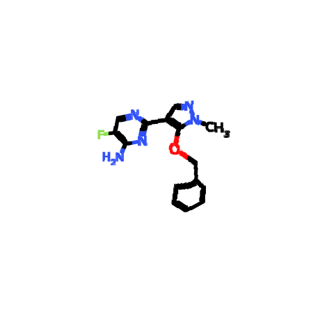 Cn1ncc(-c2ncc(F)c(N)n2)c1OCc1ccccc1